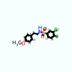 COc1ccc(CCNS(=O)(=O)c2ccc(F)c(Br)c2)cc1